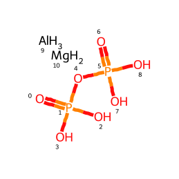 O=P(O)(O)OP(=O)(O)O.[AlH3].[MgH2]